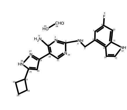 Nc1nc(NCc2cc(F)cc3[nH]ccc23)ncc1-c1cc(C2CCC2)[nH]n1.O=CO